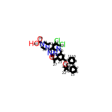 Cc1cc(CO[Si](c2ccccc2)(c2ccccc2)C(C)(C)C)cc(C(C)C)c1-n1c(=O)nc(N2CCN(C(=O)O)CC2C)c2cc(Cl)c(Cl)nc21